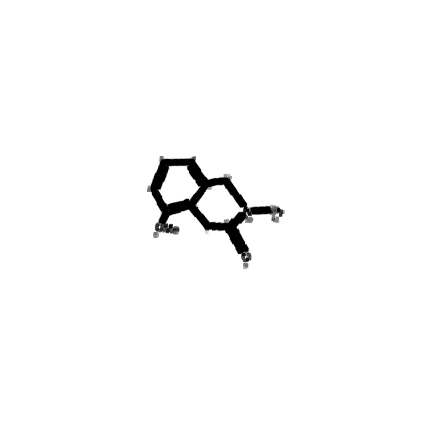 COc1cccc2c1CC(=O)N(C(C)C)C2